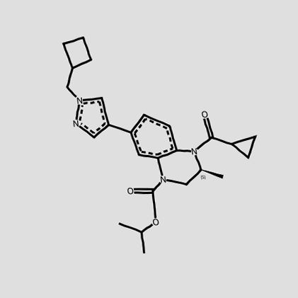 CC(C)OC(=O)N1C[C@H](C)N(C(=O)C2CC2)c2ccc(-c3cnn(CC4CCC4)c3)cc21